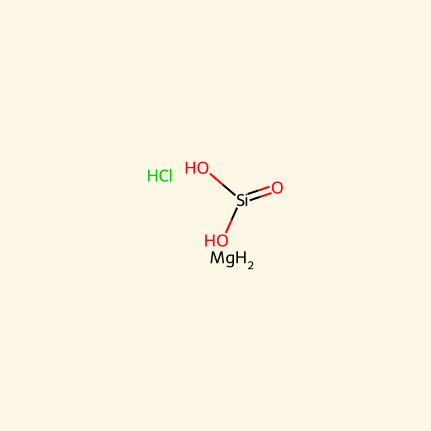 Cl.O=[Si](O)O.[MgH2]